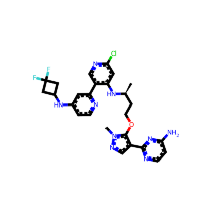 C[C@@H](CCOc1c(-c2nccc(N)n2)cnn1C)Nc1cc(Cl)ncc1-c1cc(NC2CC(F)(F)C2)ccn1